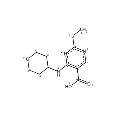 CSc1ncc(C(=O)O)c(NC2CCOCC2)n1